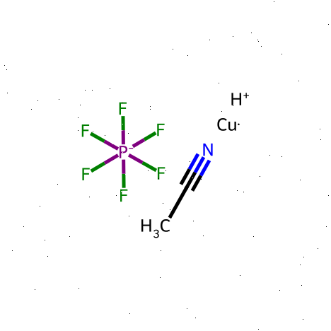 CC#N.F[P-](F)(F)(F)(F)F.[Cu].[H+]